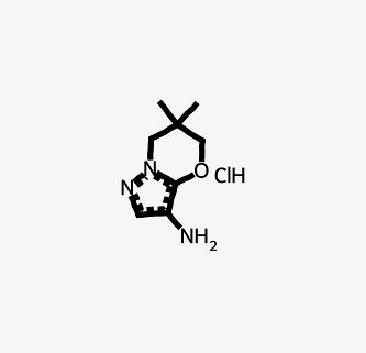 CC1(C)COc2c(N)cnn2C1.Cl